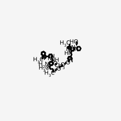 CCc1cnn2c(NCc3ccc(OCCOCCOCCN(C)CCN(C)c4cc(OC)c(Nc5nccc(-c6cn(C)c7ccccc67)n5)cc4N)nc3)cc(N3CCCC[C@H]3CCO)nc12